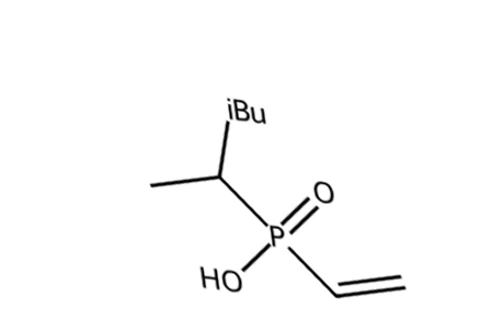 C=CP(=O)(O)C(C)C(C)CC